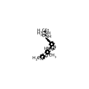 CCC(C)(C)NC(=O)NCC#Cc1ccc2ncnc(Nc3ccc(Oc4ccc(C)nc4)c(C)c3)c2c1